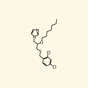 CCCCCCCOC(CSCc1ccc(Cl)cc1Cl)Cn1ccnc1